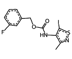 Cc1nsc(I)c1NC(=O)OCc1cccc(F)c1